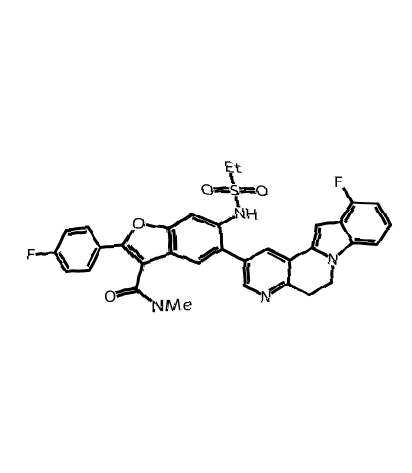 CCS(=O)(=O)Nc1cc2oc(-c3ccc(F)cc3)c(C(=O)NC)c2cc1-c1cnc2c(c1)-c1cc3c(F)cccc3n1CC2